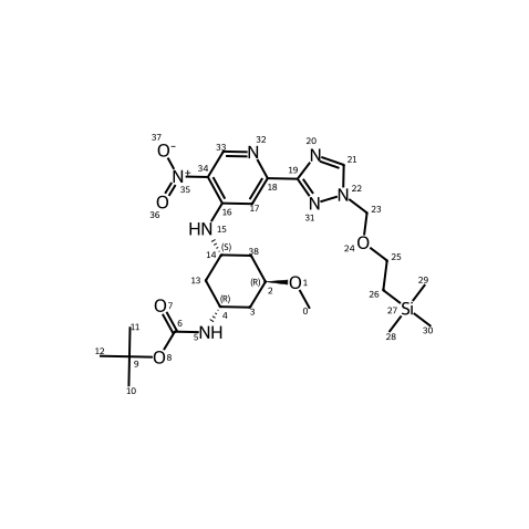 CO[C@H]1C[C@H](NC(=O)OC(C)(C)C)C[C@H](Nc2cc(-c3ncn(COCC[Si](C)(C)C)n3)ncc2[N+](=O)[O-])C1